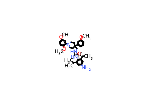 COc1cccc(C2(CNC(=O)Nc3c(C(C)C)cc(N)cc3C(C)C)CCN(c3cc(OC)ccc3OC)CC2)c1